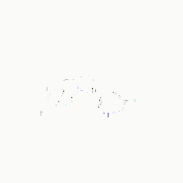 CC(F)(F)C1(C)C[C@H]2CC[C@H](c3cncc(F)c3)N2C1=O